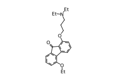 CCOc1cccc2c1-c1cccc(OCCCN(CC)CC)c1C2=O